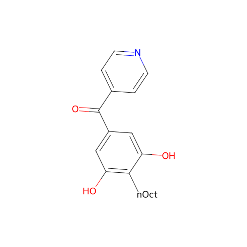 CCCCCCCCc1c(O)cc(C(=O)c2ccncc2)cc1O